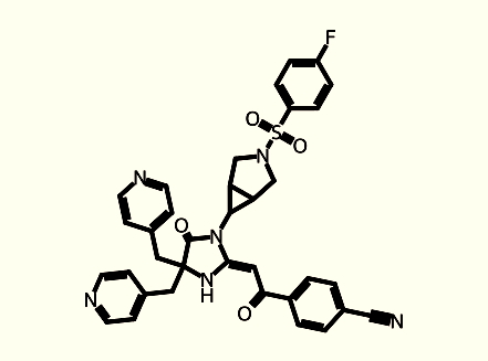 N#Cc1ccc(C(=O)C=C2NC(Cc3ccncc3)(Cc3ccncc3)C(=O)N2C2C3CN(S(=O)(=O)c4ccc(F)cc4)CC32)cc1